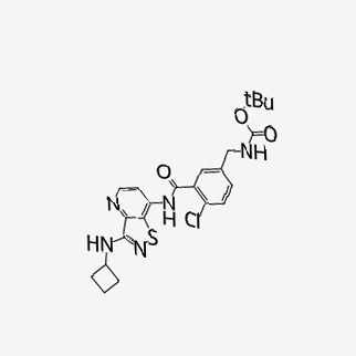 CC(C)(C)OC(=O)NCc1ccc(Cl)c(C(=O)Nc2ccnc3c(NC4CCC4)nsc23)c1